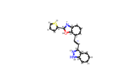 C(=C\c1cccc2nc(-c3cccs3)oc12)/c1n[nH]c2ccccc12